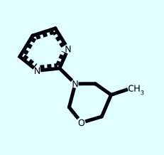 CC1COCN(c2ncccn2)C1